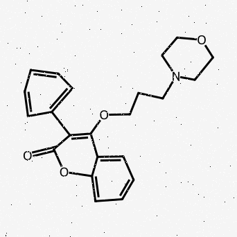 O=c1oc2ccccc2c(OCCCN2CCOCC2)c1-c1ccccc1